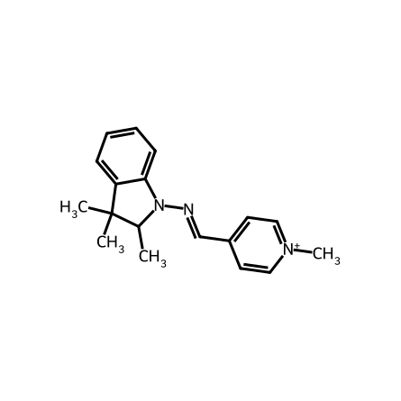 CC1N(N=Cc2cc[n+](C)cc2)c2ccccc2C1(C)C